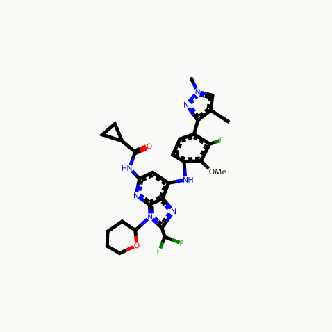 COc1c(Nc2cc(NC(=O)C3CC3)nc3c2nc(C(F)F)n3C2CCCCO2)ccc(-c2nn(C)cc2C)c1F